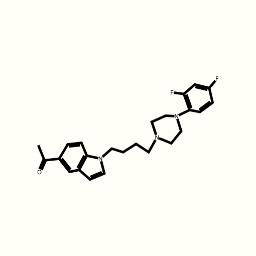 CC(=O)c1ccc2c(ccn2CCCCN2CCN(c3ccc(F)cc3F)CC2)c1